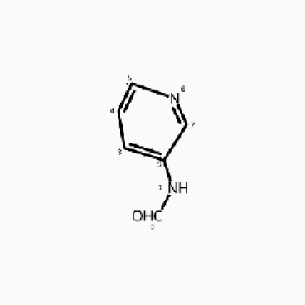 O=CNc1cc[c]nc1